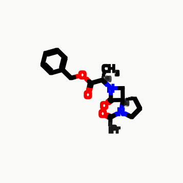 CC(C)C(=O)N1CCC[C@]12CN([C@@H](C)C(=O)OCc1ccccc1)C2=O